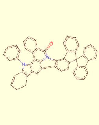 O=c1c2ccccc2c2c3c(cc4c5ccc6c(c5n1c42)-c1ccccc1C61c2ccccc2-c2ccccc21)c1c(n3-c2ccccc2)C=CCC1